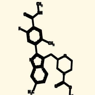 CNC(=O)c1cc(C)c(-c2nc3cc(C)ccn3c2CC2CN(C(=O)OC)CCO2)cc1F